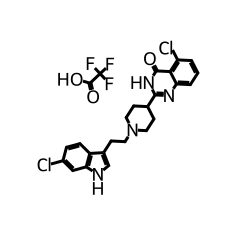 O=C(O)C(F)(F)F.O=c1[nH]c(C2CCN(CCc3c[nH]c4cc(Cl)ccc34)CC2)nc2cccc(Cl)c12